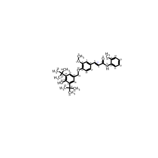 COc1cc(/C=C/C(=O)Nc2ccccc2C)ccc1OCc1cc(C(C)(C)C)c(O)c(C(C)(C)C)c1